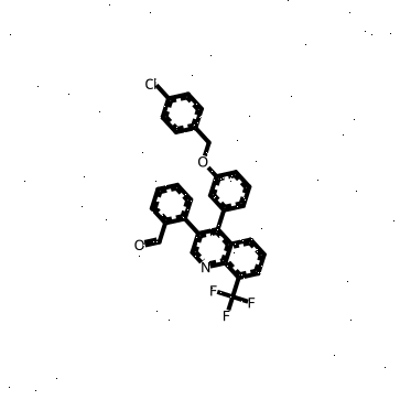 O=Cc1ccccc1-c1cnc2c(C(F)(F)F)cccc2c1-c1cccc(OCc2ccc(Cl)cc2)c1